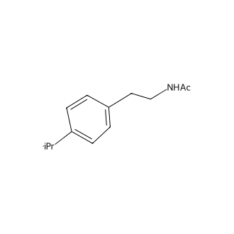 C[C](C)c1ccc(CCNC(C)=O)cc1